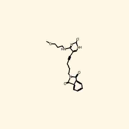 COCCCNC1=NC(Cl)NC=C1C#CCCCN1C(=O)c2ccccc2C1=O